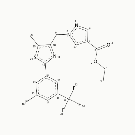 CCOC(=O)c1cnn(Cc2nc(-c3cc(F)cc(C(F)(F)F)c3)sc2C)c1